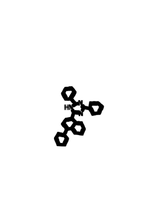 c1ccc(C2=NC(c3ccccc3)NC(c3ccc(-c4ccccc4)c4ccccc34)=N2)cc1